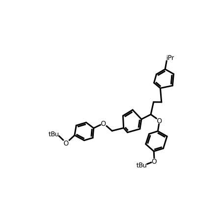 CC(C)c1ccc(CCC(Oc2ccc(OC(C)(C)C)cc2)c2ccc(COc3ccc(OC(C)(C)C)cc3)cc2)cc1